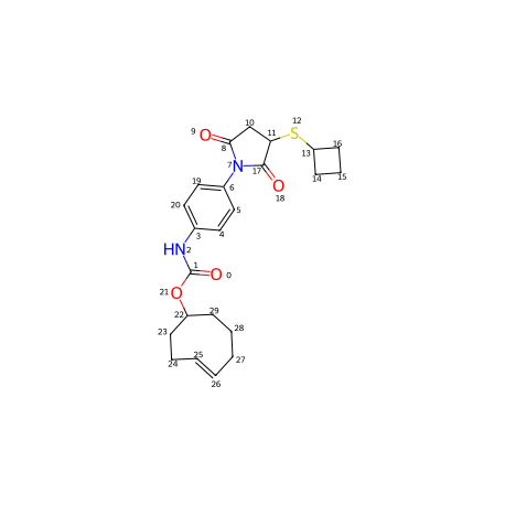 O=C(Nc1ccc(N2C(=O)CC(SC3CCC3)C2=O)cc1)OC1CC/C=C/CCC1